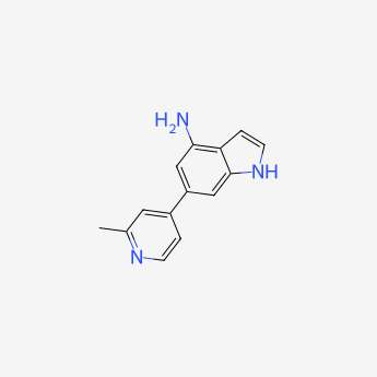 Cc1cc(-c2cc(N)c3cc[nH]c3c2)ccn1